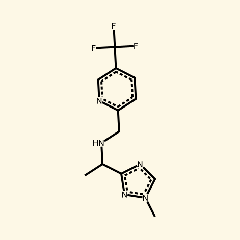 CC(NCc1ccc(C(F)(F)F)cn1)c1ncn(C)n1